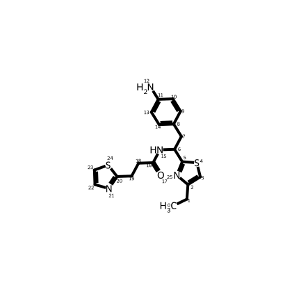 CCc1csc(C(Cc2ccc(N)cc2)NC(=O)CCc2nccs2)n1